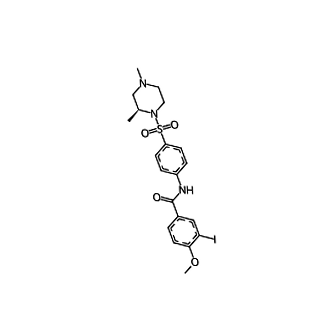 COc1ccc(C(=O)Nc2ccc(S(=O)(=O)N3CCN(C)C[C@@H]3C)cc2)cc1I